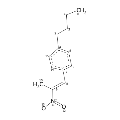 CCCCc1ccc(/C=C(\C)[N+](=O)[O-])cc1